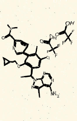 Cc1c(Cl)cc(C(C)n2nc(C)c3c(N)ncnc32)c(OCC2CC2)c1-c1ccc(C(=O)N(C)C)nc1.O=C(O)C(F)(F)F.O=C(O)C(F)(F)F